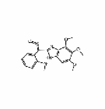 COc1cc2[nH]c(C(=S=O)c3ccccc3N(C)C)nc2c(OC)c1OC